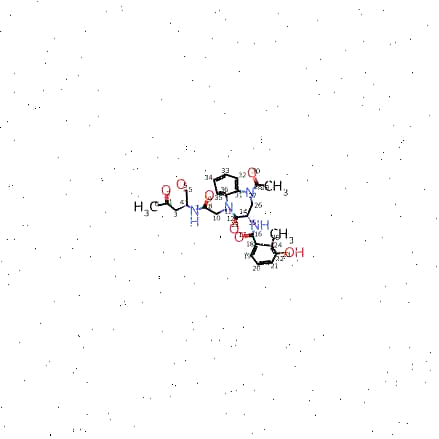 CC(=O)C[C@@H](C=O)NC(=O)CN1C(=O)[C@@H](NC(=O)c2cccc(O)c2C)CN(C(C)=O)c2ccccc21